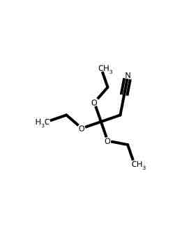 CCOC(CC#N)(OCC)OCC